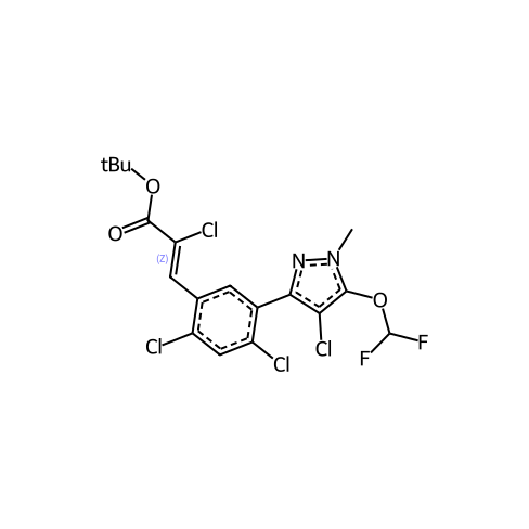 Cn1nc(-c2cc(/C=C(\Cl)C(=O)OC(C)(C)C)c(Cl)cc2Cl)c(Cl)c1OC(F)F